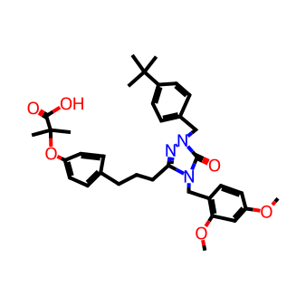 COc1ccc(Cn2c(CCCc3ccc(OC(C)(C)C(=O)O)cc3)nn(Cc3ccc(C(C)(C)C)cc3)c2=O)c(OC)c1